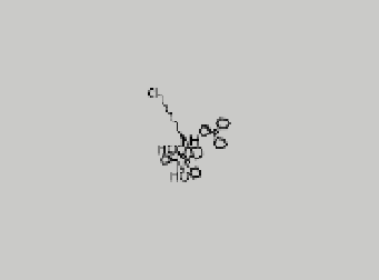 O=C(NCCCCCCCCCCCl)c1ccccc1-n1nc(-c2ccccc2O)nc1-c1ccccc1O.c1ccc(P(c2ccccc2)c2ccccc2)cc1